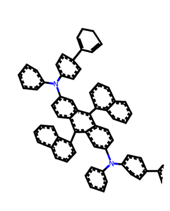 C1=CC(c2ccc(N(c3ccccc3)c3ccc4c(-c5cccc6ccccc56)c5cc(N(c6ccccc6)c6ccc(-c7ccccc7)cc6)ccc5c(-c5cccc6ccccc56)c4c3)cc2)=CCC1